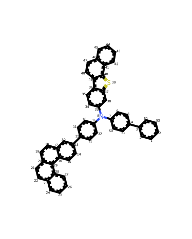 c1ccc(-c2ccc(N(c3ccc(-c4ccc5c(ccc6ccc7ccccc7c65)c4)cc3)c3ccc4c(c3)sc3c5ccccc5ccc43)cc2)cc1